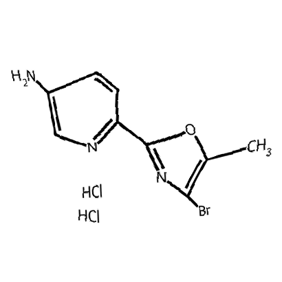 Cc1oc(-c2ccc(N)cn2)nc1Br.Cl.Cl